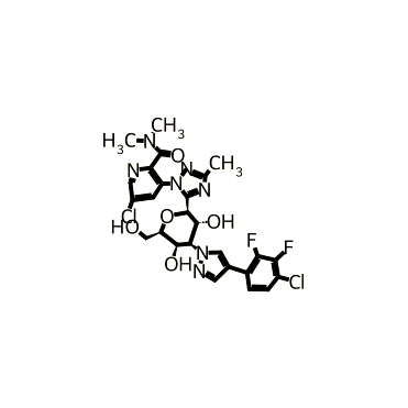 Cc1nc([C@@H]2O[C@H](CO)[C@H](O)[C@H](n3cc(-c4ccc(Cl)c(F)c4F)cn3)[C@H]2O)n(-c2cc(Cl)cnc2C(=O)N(C)C)n1